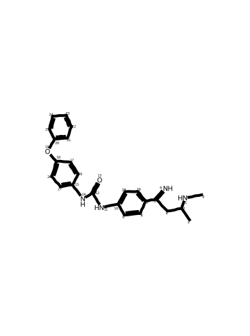 CNC(C)CC(=N)c1ccc(NC(=O)Nc2ccc(Oc3ccccc3)cc2)cc1